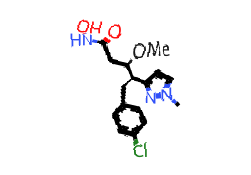 CO[C@H](CC(=O)NO)[C@H](Cc1ccc(Cl)cc1)c1ccn(C)n1